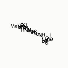 CNC(=O)c1ccccc1Nc1nc(Nc2ccc(N3CCN(C(=O)N[C@H]4CC[C@@H](NCCC#Cc5cccc6c5CN(C5CCC(=O)NC5=O)C6=O)CC4)CC3)nc2)ncc1Cl